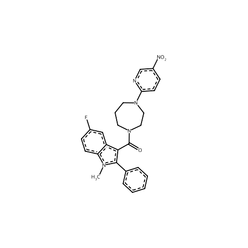 Cn1c(-c2ccccc2)c(C(=O)N2CCCN(c3ccc([N+](=O)[O-])cn3)CC2)c2cc(F)ccc21